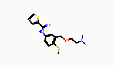 CSc1ccc(NC(=N)c2cccs2)cc1COCCN(C)C